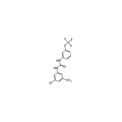 Cc1cc(Cl)cc(NC(=O)Nc2cccc(SC(F)(F)F)c2)c1